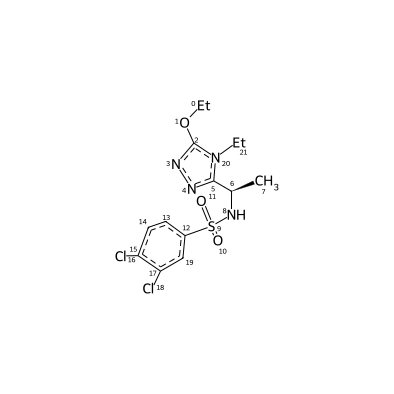 CCOc1nnc([C@@H](C)NS(=O)(=O)c2ccc(Cl)c(Cl)c2)n1CC